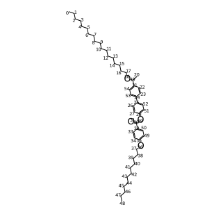 CCCCCCCCCCCCCCCCCCOC(C)c1ccc(-c2ccc(OC(=O)c3ccc(OCCCCCCCCCCCC)cc3)cc2)cc1